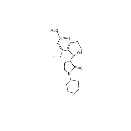 COc1cc(CI)c(C(O)C2CCN(C3CCCCC3)C2=O)c(CI)c1